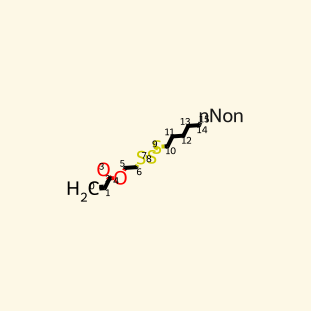 C=CC(=O)OCCSSSCCCCCCCCCCCCCC